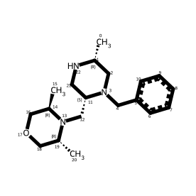 C[C@@H]1CN(Cc2ccccc2)[C@H](CN2[C@H](C)COC[C@H]2C)CN1